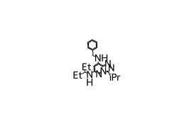 CCC(CC)Nc1cc(NCc2ccccc2)c2nnc(C(C)C)n2n1